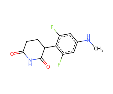 CNc1cc(F)c(C2CCC(=O)NC2=O)c(F)c1